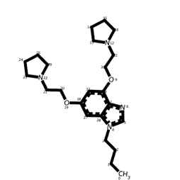 CCCCn1cnc2c(OCCN3CCCC3)cc(OCCN3CCCC3)cc21